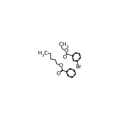 CCCCCOC(=O)c1ccccc1.CCOC(=O)c1cccc(Br)c1